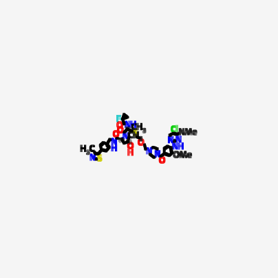 CNc1nc(Nc2ccc(C(=O)N3CCN(CCOCCSC(C)(C)[C@H](NC(=O)C4(F)CC4)C(=O)N4C[C@H](O)C[C@H]4C(=O)NCc4ccc(-c5scnc5C)cc4)CC3)cc2OC)ncc1Cl